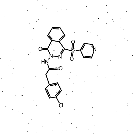 O=C(Cc1ccc(Cl)cc1)Nn1nc(S(=O)(=O)c2ccncc2)c2ccccc2c1=O